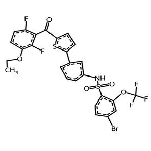 CCOc1ccc(F)c(C(=O)c2ccc(-c3cccc(NS(=O)(=O)c4ccc(Br)cc4OC(F)(F)F)c3)s2)c1F